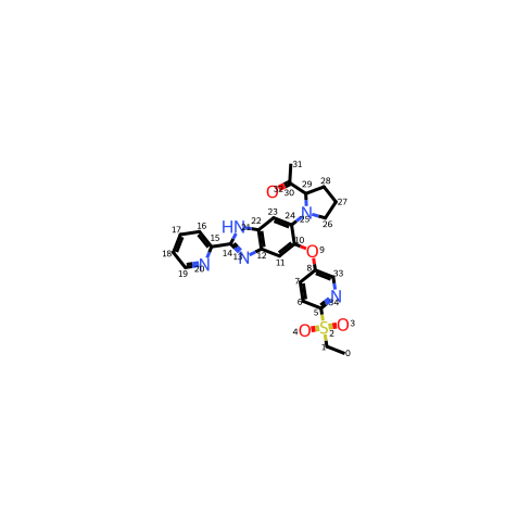 CCS(=O)(=O)c1ccc(Oc2cc3nc(-c4ccccn4)[nH]c3cc2N2CCCC2C(C)=O)cn1